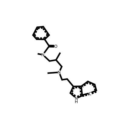 CC(CN(C)CCc1c[nH]c2ccccc12)CN(C)C(=O)c1ccccc1